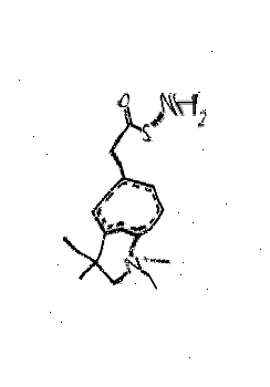 CC1(C)C[N+](C)(C)c2ccc(CC(=O)SN)cc21